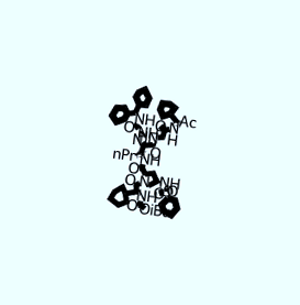 CCC[C@H](NC(=O)C1C[C@@H](NS(=O)(=O)c2ccccc2)CN1C(=O)[C@@H](NC(=O)OCC(C)C)C1CCCCC1)C(=NNC(=O)NC(c1ccccc1)c1ccccc1)C(=O)NCC(=O)N[C@H](C(C)=O)c1ccccc1